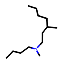 CCCCC(C)CCN(C)CCCC